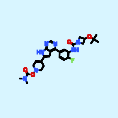 CN(C)C(=O)ON1CC=C(c2cc3c(-c4ccc(F)c(NC(=O)N5CC(OC(C)(C)C)C5)c4)ncnc3[nH]2)CC1